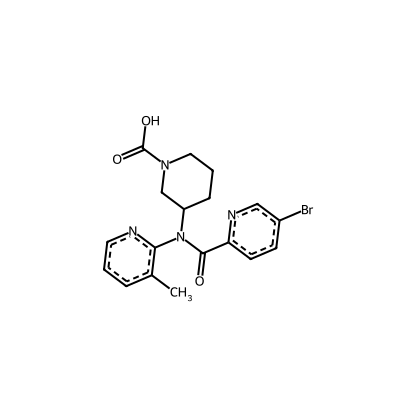 Cc1cccnc1N(C(=O)c1ccc(Br)cn1)C1CCCN(C(=O)O)C1